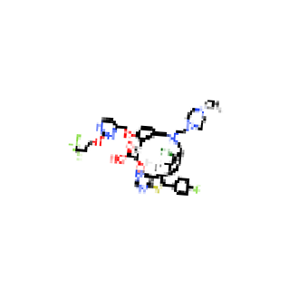 Cc1c2ccc(c1Cl)CN(CCN1CCN(C)CC1)Cc1ccc(OCc3ccnc(OCCC(F)(F)F)n3)c(c1)C[C@H](C(=O)O)Oc1ncnc3sc(-c4ccc(F)cc4)c-2c13